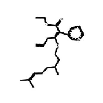 C=CCC(SCCC(C)CCC=C(C)C)=C(C(=O)OCC)c1cccnc1